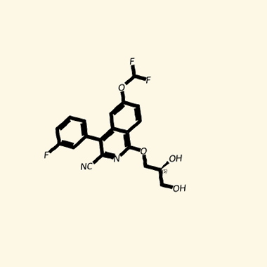 N#Cc1nc(OC[C@@H](O)CO)c2ccc(OC(F)F)cc2c1-c1cccc(F)c1